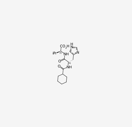 CC(C)[C@H](NC(=O)[C@H](Cc1c[nH]cn1)NC(=O)C1CCCCC1)C(=O)O